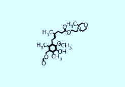 COc1c(O)c(C)c(COC=O)c(C)c1C/C=C(\C)CCC(=O)OCCN1CCOCC1C